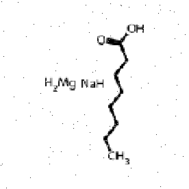 CCCCCCCC(=O)O.[MgH2].[NaH]